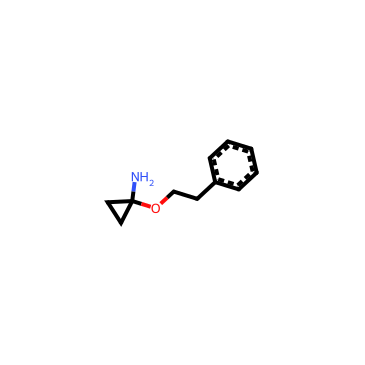 NC1(OCCc2ccccc2)CC1